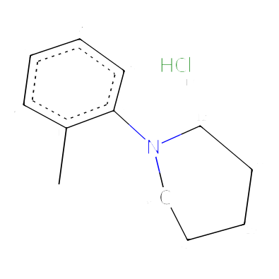 Cc1ccccc1N1CCCCC1.Cl